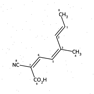 CC=CC(C)=CC=C(C#N)C(=O)O